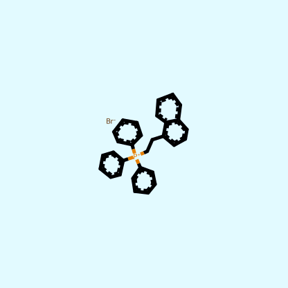 [Br-].c1ccc([P+](CCc2cccc3ccccc23)(c2ccccc2)c2ccccc2)cc1